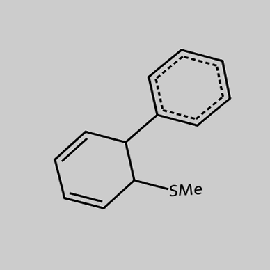 CSC1C=CC=CC1c1ccccc1